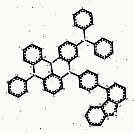 c1ccc(N(c2ccccc2)c2ccc3c(c2)N(c2ccc(-c4cccc5oc6ccccc6c45)cc2)c2cccc4c2B3c2ccccc2N4c2ccccc2)cc1